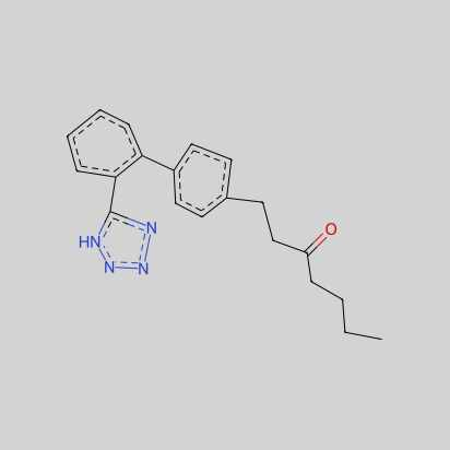 CCCCC(=O)CCc1ccc(-c2ccccc2-c2nnn[nH]2)cc1